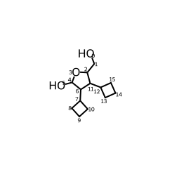 OCC1OC(O)C(C2CCC2)C1C1CCC1